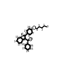 CCCCCOc1ccc(-c2sc3ccccc3c2C(=O)c2ccccc2)cc1